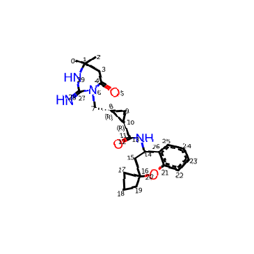 CC1(C)CC(=O)N(C[C@@H]2C[C@H]2C(=O)NC2CC3(CCC3)Oc3ccccc32)C(=N)N1